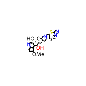 COc1ccc2nccc([C@H](O)CC[C@@H]3CCN(CCSc4cncn4C)C[C@@H]3C(=O)O)c2c1